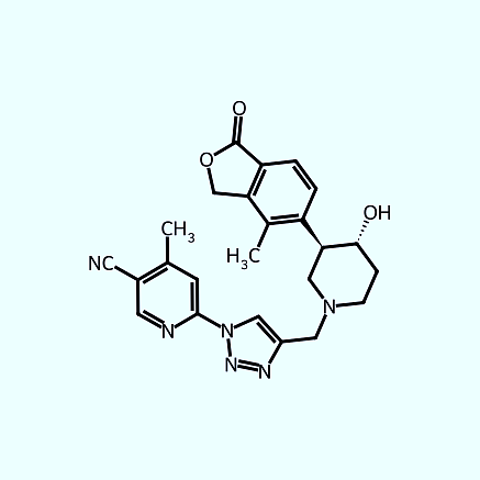 Cc1cc(-n2cc(CN3CC[C@@H](O)[C@H](c4ccc5c(c4C)COC5=O)C3)nn2)ncc1C#N